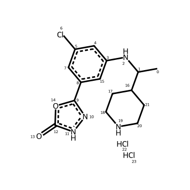 CC(Nc1cc(Cl)cc(-c2n[nH]c(=O)o2)c1)C1CCNCC1.Cl.Cl